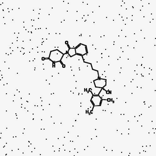 Cc1cc(C)c(C2(C#N)CCN(CCCCc3cccc4c3CN(C3CCC(=O)NC3=O)C4=O)CC2)c(C)c1